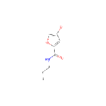 CCCNC(=O)c1cc([O])co1